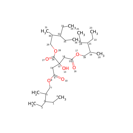 CCC(CC)C(C)COC(=O)CC(O)(CC(=O)OCC(C)C(CC)CC)C(=O)OCC(C)C(CC)CC